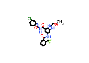 COCc1nc2c(C(=O)Nc3nc4cc(Cl)ccc4o3)cc(NC(=O)c3ccccc3C(F)(F)F)cc2[nH]1